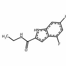 CCNC(=O)c1cc2c(F)cc(Cl)cc2[nH]1